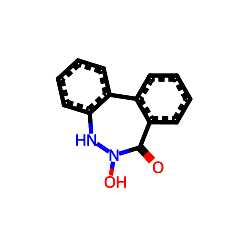 O=C1c2ccccc2-c2ccccc2NN1O